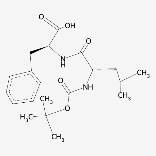 CC(C)C[C@H](NC(=O)OC(C)(C)C)C(=O)N[C@@H](Cc1ccccc1)C(=O)O